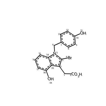 O=C(O)Cc1c(Br)n(Cc2ccc(O)cc2)c2cccc(O)c12